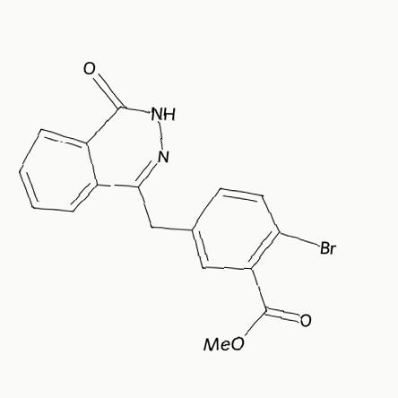 COC(=O)c1cc(Cc2n[nH]c(=O)c3ccccc23)ccc1Br